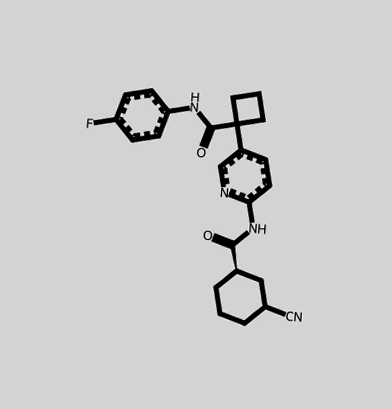 N#CC1CCC[C@@H](C(=O)Nc2ccc(C3(C(=O)Nc4ccc(F)cc4)CCC3)cn2)C1